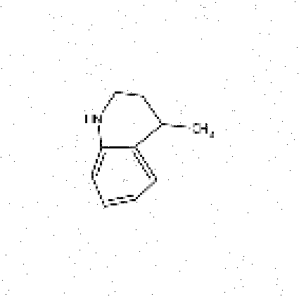 CC1CCNc2ccccc21